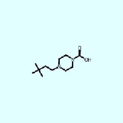 CC(C)(C)CCN1CCN(C(=O)O)CC1